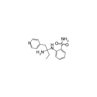 CCC(N)(Cc1ccncc1)Nc1ccccc1S(N)(=O)=O